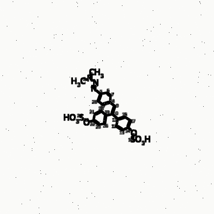 CN(C)N=Nc1ccc(C=C(c2ccc(OS(=O)(=O)O)cc2)c2ccc(OS(=O)(=O)O)cc2)cc1